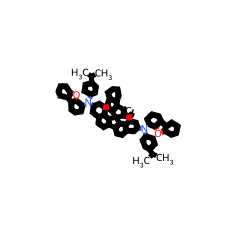 CC(C)c1ccc(N(c2ccc3c4c(ccc3c2)-c2ccc3cc(N(c5ccc(C(C)C)cc5)c5cccc6c5oc5ccccc56)ccc3c2C42c3ccccc3-c3c2ccc2ccccc32)c2cccc3c2oc2ccccc23)cc1